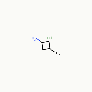 CC1CC(N)C1.Cl